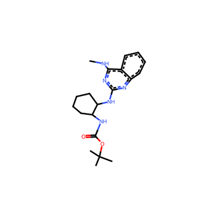 CNc1nc(NC2CCCCC2NC(=O)OC(C)(C)C)nc2ccccc12